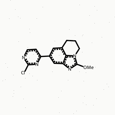 COc1nc2cc(-c3ccnc(Cl)n3)cc3c2n1CCC3